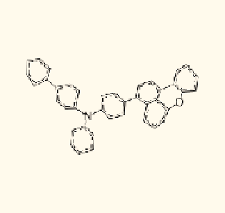 c1ccc(-c2ccc(N(c3ccccc3)c3ccc(-c4ccc5c6c(cccc46)Oc4ccccc4-5)cc3)cc2)cc1